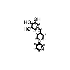 O[C@H]1[C@H](O)CN(CC2CCN(c3cccnc3)CC2)C[C@@H]1O